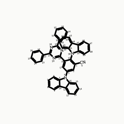 N#Cc1cc(-n2c3ccccc3c3ccccc32)cc(-c2nc(-c3ccccc3)nc(-c3ccccc3)n2)c1-n1c2ccccc2c2ccccc21